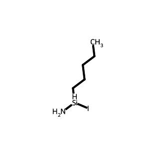 CCCCC[SiH](N)I